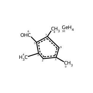 Cc1cc(C)c(C=O)c(C)c1.[GeH4]